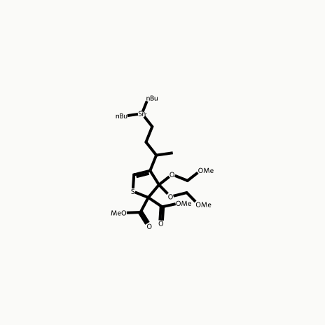 CCC[CH2][Sn]([CH2]CCC)[CH2]CC(C)C1=CSC(C(=O)OC)(C(=O)OC)C1(OCOC)OCOC